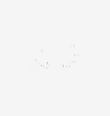 COc1cc(-c2ccc3ncc(S(C)(=O)=O)c(N(C)C4CCN(C)CC4)c3c2)cc(Cl)c1O